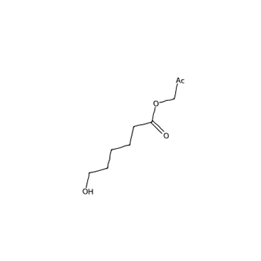 CC(=O)COC(=O)CCCCCO